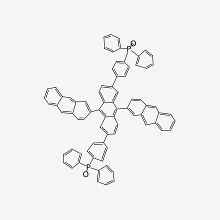 O=P(c1ccccc1)(c1ccccc1)c1ccc(-c2ccc3c(-c4ccc5cc6ccccc6cc5c4)c4cc(-c5ccc(P(=O)(c6ccccc6)c6ccccc6)cc5)ccc4c(-c4ccc5cc6ccccc6cc5c4)c3c2)cc1